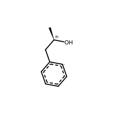 C[C@@H](O)Cc1[c]cccc1